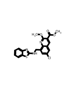 COC(=O)c1cc2cc(Cl)cc(CNc3nc4ccccc4s3)c2nc1OC